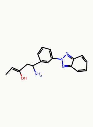 CC=C(O)CC(N)c1cccc(-n2nc3ccccc3n2)c1